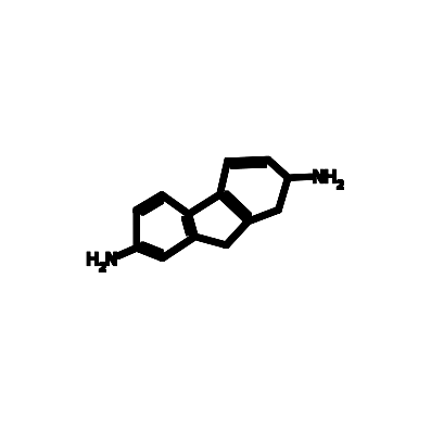 Nc1ccc2c(c1)CC1=C2C=CC(N)C1